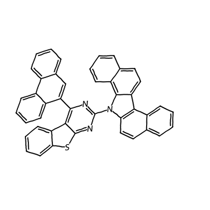 c1ccc2c(c1)cc(-c1nc(-n3c4ccc5ccccc5c4c4ccc5ccccc5c43)nc3sc4ccccc4c13)c1ccccc12